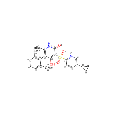 CCCCc1[nH]c(=O)c(S(=O)(=O)c2ccc(C3CC3)cn2)c(O)c1-c1c(OC)cccc1OC